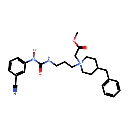 COC(=O)C[N+]1(CCCNC(=O)N(Br)c2cccc(C#N)c2)CCC(Cc2ccccc2)CC1